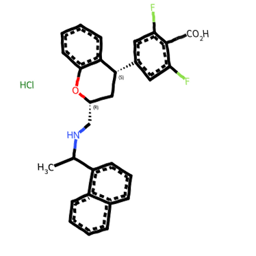 CC(NC[C@H]1C[C@@H](c2cc(F)c(C(=O)O)c(F)c2)c2ccccc2O1)c1cccc2ccccc12.Cl